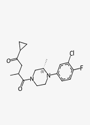 CC(CC(=O)C1CC1)C(=O)N1CCN(c2ccc(F)c(Cl)c2)[C@@H](C)C1